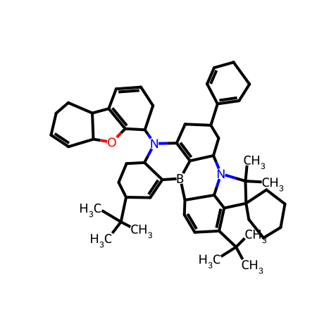 CC(C)(C)C1=C2C3C(C=C1)B1C4=CC(C(C)(C)C)CCC4N(C4CC=CC5=C4OC4C=CCCC54)C4=C1C(CC(C1=CCCC=C1)C4)N3C(C)(C)C21CCCCC1